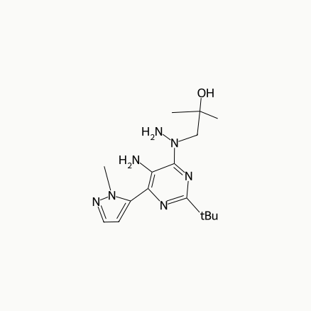 Cn1nccc1-c1nc(C(C)(C)C)nc(N(N)CC(C)(C)O)c1N